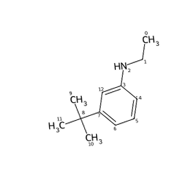 CCNc1[c]ccc(C(C)(C)C)c1